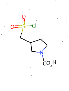 O=C(O)N1CCC(CS(=O)(=O)Cl)C1